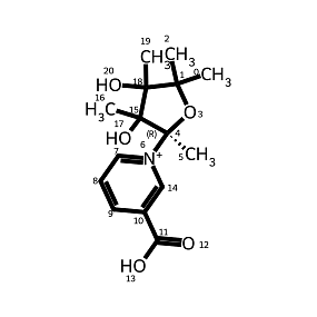 CC1(C)O[C@@](C)([n+]2cccc(C(=O)O)c2)C(C)(O)C1(C)O